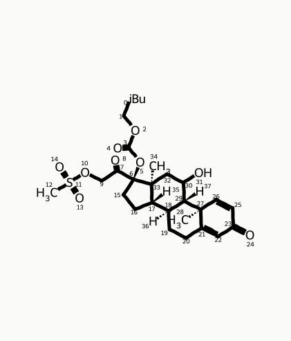 CCC(C)COC(=O)O[C@]1(C(=O)COS(C)(=O)=O)CC[C@H]2[C@@H]3CCC4=CC(=O)C=C[C@]4(C)[C@H]3C(O)C[C@@]21C